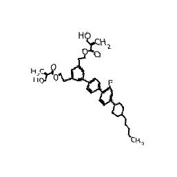 C=C(CO)C(=O)OCCc1cc(CCOC(=O)C(=C)CO)cc(-c2ccc(-c3ccc(C4CCC(CCCCC)CC4)cc3F)cc2)c1